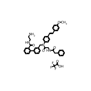 COc1ccc(C=Cc2ccc(N(Cc3cccc(-c4ccccc4C(=O)NCCN)c3)C(=O)CNC(=O)Cc3ccccc3)cc2)cc1.O=C(O)C(F)(F)F